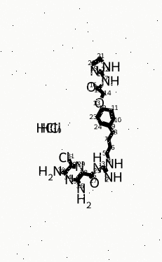 Cl.Cl.N=C(NCCCCc1ccc(OCC(=O)Nc2ncc[nH]2)cc1)NC(=O)c1nc(Cl)c(N)nc1N